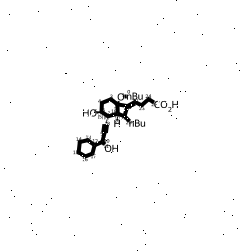 CCCCO[C@@]12CC[C@H](O)[C@@H](C#CC(O)C3CCCCC3)[C@@H]1C(CCCC)C2=CCCC(=O)O